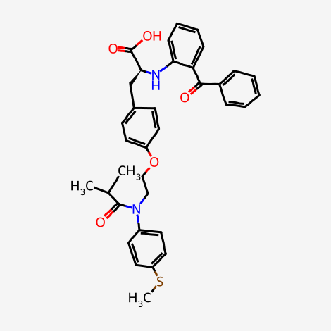 CSc1ccc(N(CCOc2ccc(C[C@H](Nc3ccccc3C(=O)c3ccccc3)C(=O)O)cc2)C(=O)C(C)C)cc1